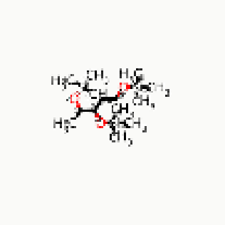 CC(O[Si](C)(C)C)C(CCO[Si](C)(C)C)O[Si](C)(C)C